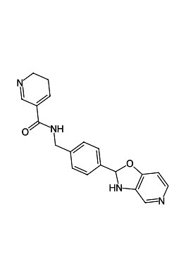 O=C(NCc1ccc(C2Nc3cnccc3O2)cc1)C1=CCCN=C1